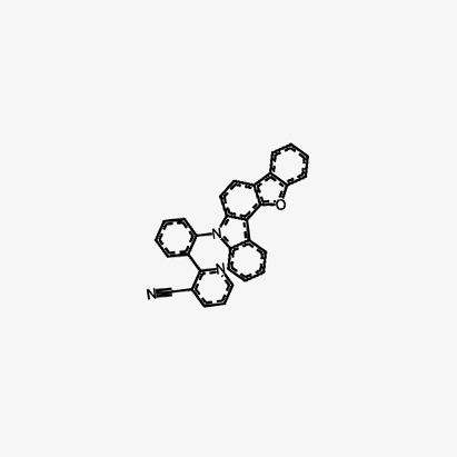 N#Cc1cccnc1-c1ccccc1-n1c2ccccc2c2c3oc4ccccc4c3ccc21